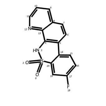 O=S1(=O)Nc2c(ccc3cccnc23)-c2ccc(F)cc21